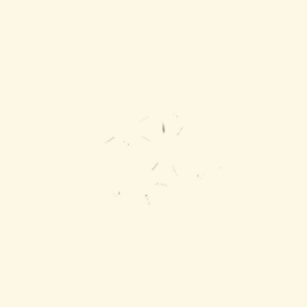 COC(=O)c1ccc(C(CCC(C)C)c2c[nH]c3ccc(NC(=O)OC4CCCC4)cc23)c(OC)c1